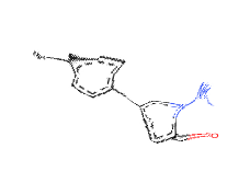 CCCc1ccc(-c2ccc(=O)n(N)c2)cc1